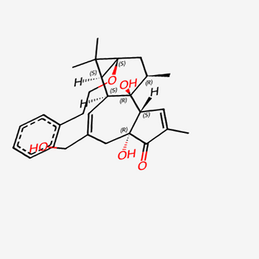 CC1=C[C@H]2[C@@]3(O)[C@H](C)C[C@]4(OCCc5ccccc5)[C@@H]([C@@H]3C=C(CO)C[C@]2(O)C1=O)C4(C)C